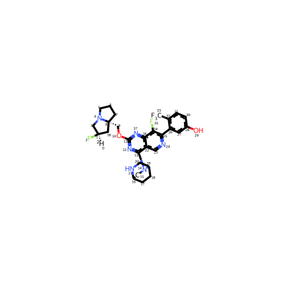 [2H][C@]1(F)CN2CCC[C@@]2(COc2nc(N3CC4CCC3CN4)c3cnc(-c4cc(O)ccc4C(F)(F)F)c(F)c3n2)C1